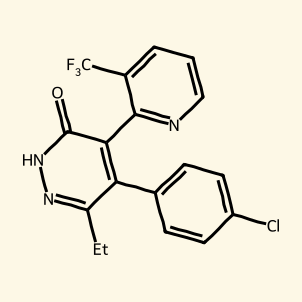 CCc1n[nH]c(=O)c(-c2ncccc2C(F)(F)F)c1-c1ccc(Cl)cc1